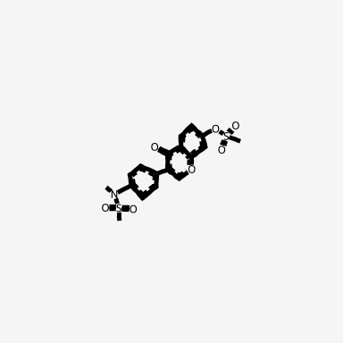 CN(c1ccc(-c2coc3cc(OS(C)(=O)=O)ccc3c2=O)cc1)S(C)(=O)=O